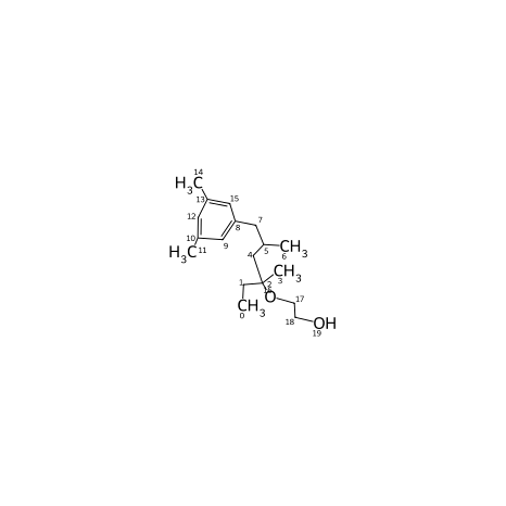 CCC(C)(CC(C)Cc1cc(C)cc(C)c1)OCCO